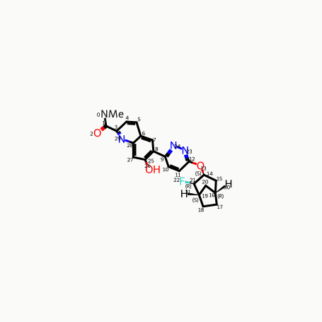 CNC(=O)c1ccc2cc(-c3ccc(O[C@H]4C[C@@H]5CC[C@@H](C5)[C@H]4F)nn3)c(O)cc2n1